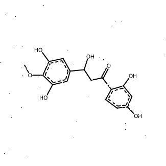 COc1c(O)cc(C(O)CC(=O)c2ccc(O)cc2O)cc1O